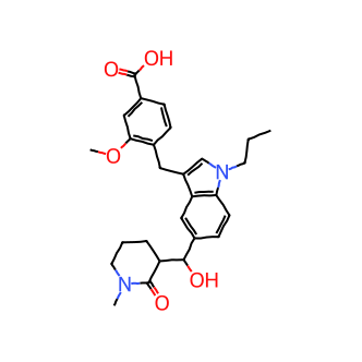 CCCn1cc(Cc2ccc(C(=O)O)cc2OC)c2cc(C(O)C3CCCN(C)C3=O)ccc21